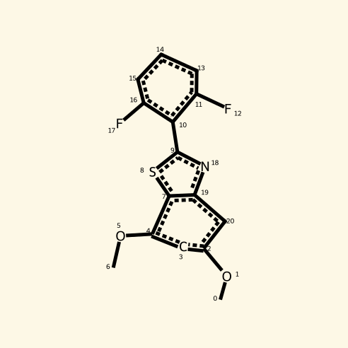 COc1cc(OC)c2sc(-c3c(F)cccc3F)nc2c1